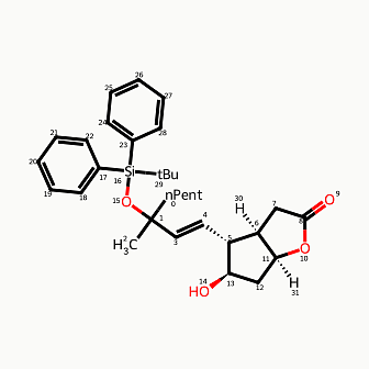 CCCCCC(C)(/C=C/[C@@H]1[C@H]2CC(=O)O[C@H]2C[C@H]1O)O[Si](c1ccccc1)(c1ccccc1)C(C)(C)C